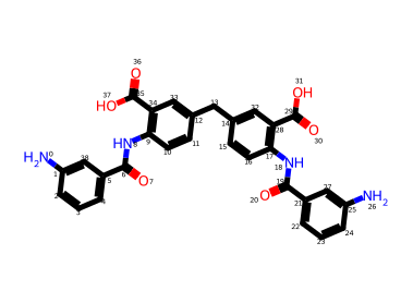 Nc1cccc(C(=O)Nc2ccc(Cc3ccc(NC(=O)c4cccc(N)c4)c(C(=O)O)c3)cc2C(=O)O)c1